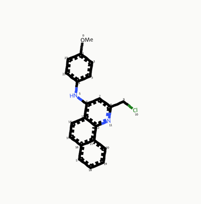 COc1ccc(Nc2cc(CCl)nc3c2ccc2ccccc23)cc1